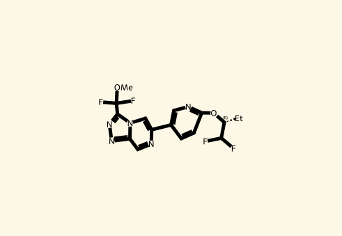 CC[C@@H](Oc1ccc(-c2cn3c(C(F)(F)OC)nnc3cn2)cn1)C(F)F